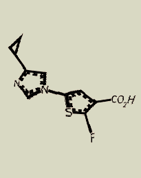 O=C(O)c1cc(-n2cnc(C3CC3)c2)sc1F